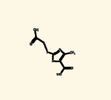 Cc1nc(SCC(=O)O)sc1C(=O)O